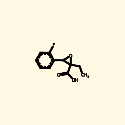 CCC1(C(=O)O)OC1c1ccccc1F